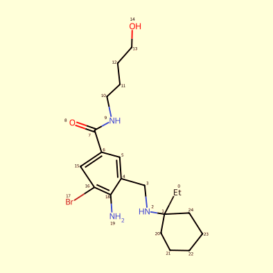 CCC1(NCc2cc(C(=O)NCCCCO)cc(Br)c2N)CCCCC1